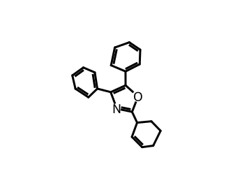 C1=CC(c2nc(-c3ccccc3)c(-c3ccccc3)o2)CCC1